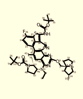 CCN(c1nc(OC[C@@]23CCCN2C[C@H](F)C3)nc2c(F)c(-c3ccc(F)c4sc(NC(=O)OC(C)(C)C)c(C#N)c34)c(I)cc12)[C@@H]1CCN(C(=O)OC(C)(C)C)[C@@H]1C